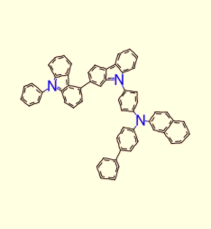 c1ccc(-c2ccc(N(c3ccc(-n4c5ccccc5c5ccc(-c6cccc7c6c6ccccc6n7-c6ccccc6)cc54)cc3)c3ccc4ccccc4c3)cc2)cc1